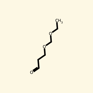 CCOCOCCC=O